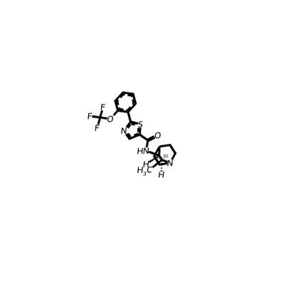 C[C@H]1[C@H](NC(=O)c2cnc(-c3ccccc3OC(F)(F)F)s2)C2CCN1CC2